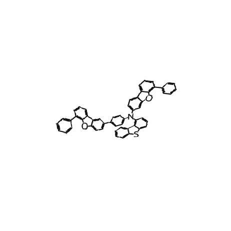 c1ccc(-c2cccc3c2oc2cc(N(c4ccc(-c5ccc6oc7c(-c8ccccc8)cccc7c6c5)cc4)c4cccc5sc6ccccc6c45)ccc23)cc1